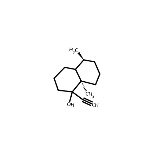 C#CC1(O)CCCC2[C@@H](C)CCC[C@]21C